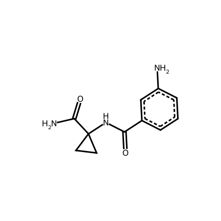 NC(=O)C1(NC(=O)c2cccc(N)c2)CC1